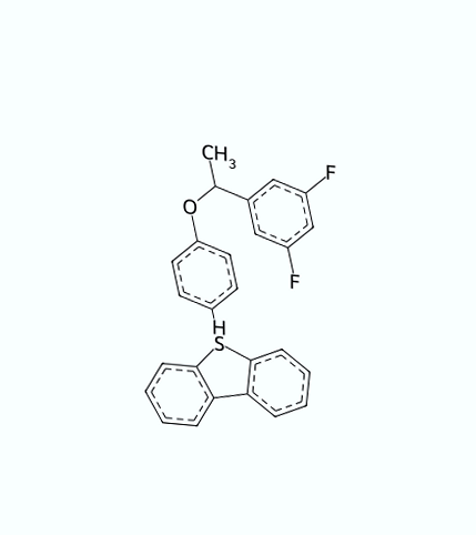 CC(Oc1ccc([SH]2c3ccccc3-c3ccccc32)cc1)c1cc(F)cc(F)c1